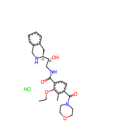 CCOc1c(C(=O)NC[C@@H](O)[C@@H]2Cc3ccccc3CN2)ccc(C(=O)N2CCOCC2)c1C.Cl